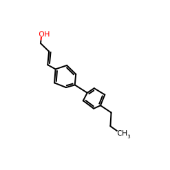 CCCc1ccc(-c2ccc(/C=C/CO)cc2)cc1